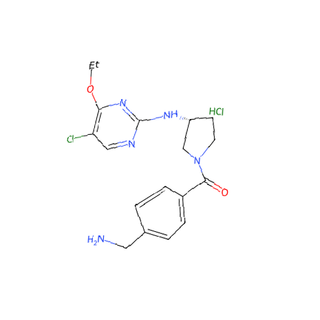 CCOc1nc(N[C@@H]2CCN(C(=O)c3ccc(CN)cc3)C2)ncc1Cl.Cl